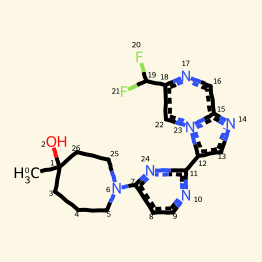 CC1(O)CCCN(c2ccnc(-c3cnc4cnc(C(F)F)cn34)n2)CC1